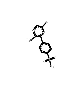 CS(=O)(=O)c1ccc(-c2nc(Br)cnc2N)cc1